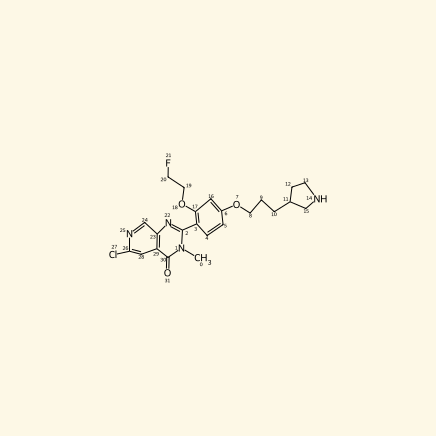 Cn1c(-c2ccc(OCCCC3CCNC3)cc2OCCF)nc2cnc(Cl)cc2c1=O